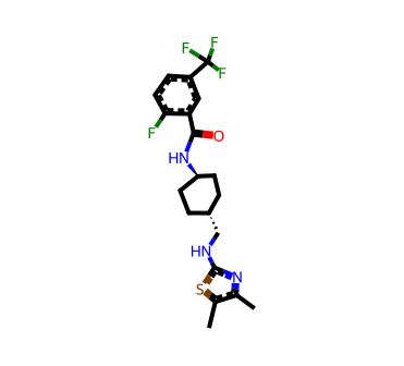 Cc1nc(NC[C@H]2CC[C@H](NC(=O)c3cc(C(F)(F)F)ccc3F)CC2)sc1C